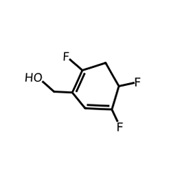 OCC1=C(F)CC(F)C(F)=C1